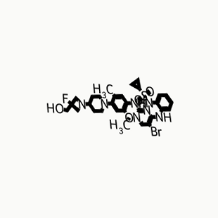 COc1cc(N2CCC(N3CC(F)(CO)C3)CC2)c(C)cc1Nc1ncc(Br)c(Nc2ccccc2NS(=O)(=O)C2CC2)n1